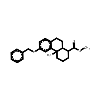 COC(=O)C1CCCC2(C)c3cc(OCc4ccccc4)ccc3CCC12